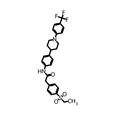 CCS(=O)(=O)c1ccc(CC(=O)Nc2ccc(C3CCN(c4ccc(C(F)(F)F)cc4)CC3)cc2)cc1